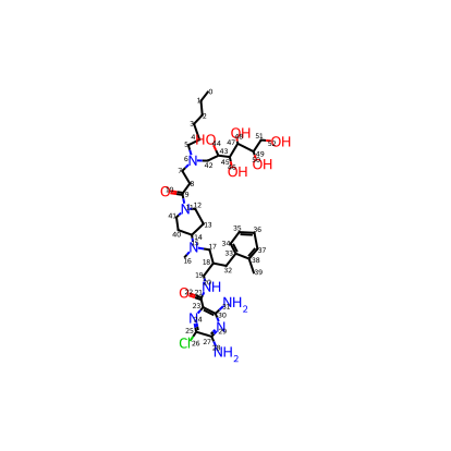 CCCCCCN(CCC(=O)N1CCC(N(C)CC(CNC(=O)c2nc(Cl)c(N)nc2N)Cc2ccccc2C)CC1)CC(O)C(O)C(O)C(O)CO